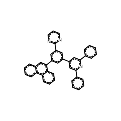 c1ccc(-c2cc(-c3cc(-c4ncccn4)cc(-c4cc5ccccc5c5ccccc45)c3)cc(-c3ccccc3)n2)cc1